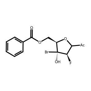 CC(=O)C1O[C@H](COC(=O)c2ccccc2)[C@](O)(Br)[C@@H]1F